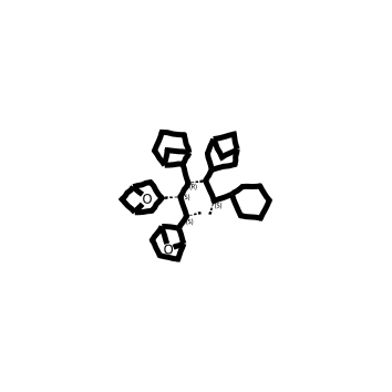 C[C@@H](C1CCCCC1)C(C1CC2CC(C2)C1)[C@@H](C1C2CCCC1C2)[C@@H](C1CC2CC(C1)O2)[C@H](C)C1C2CCCC1O2